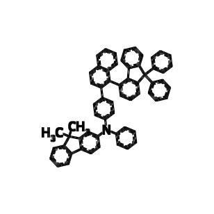 CC1(C)c2ccccc2-c2ccc(N(c3ccccc3)c3ccc(-c4ccc5ccccc5c4-c4cccc5c4-c4ccccc4C5(c4ccccc4)c4ccccc4)cc3)cc21